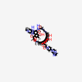 CC[C@H]1/C=C/O[C@@]2(C)Oc3c(C)c(O)c4c(c3C2=O)C2=NC3(CCN(CC(C)C)CC3)NC2=C(NC(=O)/C(C)=C\C=C\[C@H](C)[C@H](O)[C@@H](C)[C@@H](O)[C@@H](C)[C@H](OC(=O)CC(=O)N2CCC(N3CCn5ccnc5C3)CC2)[C@@H]1C)C4=O